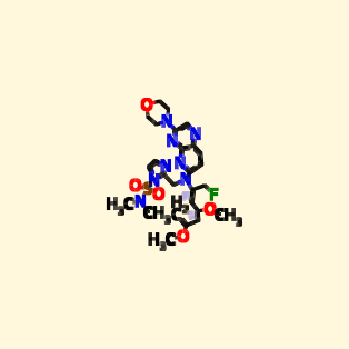 C=C(/C=C(\C=C(/CF)N(Cc1nccn1S(=O)(=O)N(C)C)c1ccc2ncc(N3CCOCC3)nc2n1)OC)OC